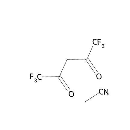 CC#N.O=C(CC(=O)C(F)(F)F)C(F)(F)F